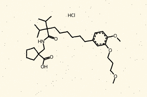 COCCCOc1cc(CCCCCCC(C(=O)NCC2(C(=O)O)CCCC2)(C(C)C)C(C)C)ccc1OC.Cl